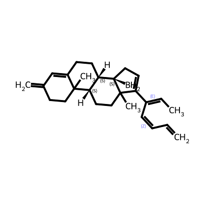 B[C@@]12CC=C(C(/C=C\C=C)=C/C)C1(C)CC[C@H]1[C@@H]2CCC2=CC(=C)CCC21C